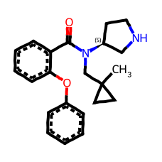 CC1(CN(C(=O)c2ccccc2Oc2ccccc2)[C@H]2CCNC2)CC1